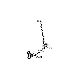 CC(C)(C)OCCCCCCCCCCCCCCCC(=O)NC(CCC(=O)NCCCCC(NC(=O)C1c2ccccc2-c2ccccc21)C(=O)O)C(=O)OC(C)(C)C